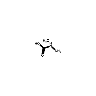 NNC(=O)O.O